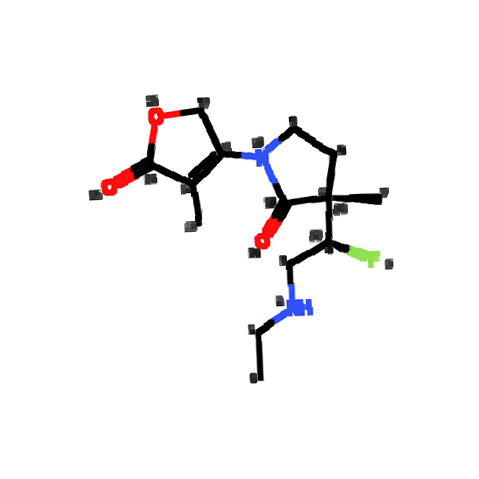 CCNC[C@H](F)[C@@]1(C)CCN(C2=C(C)C(=O)OC2)C1=O